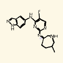 CC1CC/C(=N/c2ncc(F)c(Nc3ccc4[nH]ncc4c3)n2)CNC1